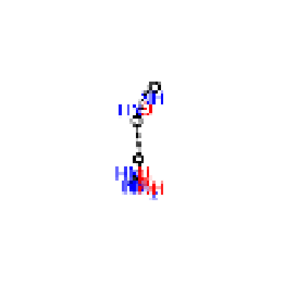 NC[C@H](NC(=O)c1ccc(C#CC#Cc2ccc(NC(=O)CNCC3CCCCC3)cc2)cc1)C(=O)NO